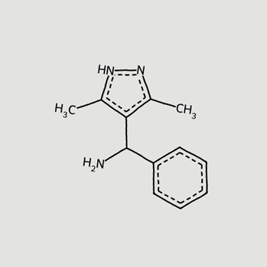 Cc1n[nH]c(C)c1C(N)c1ccccc1